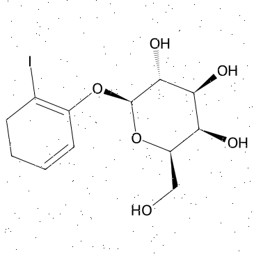 OC[C@H]1O[C@@H](OC2=C(I)CCC=C2)[C@H](O)[C@@H](O)[C@H]1O